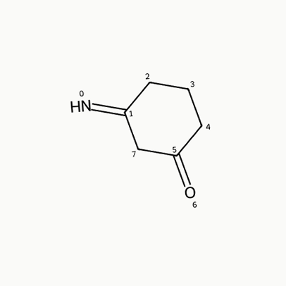 N=C1CCCC(=O)C1